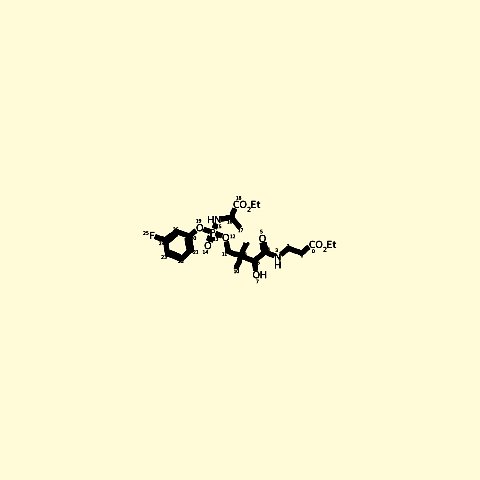 CCOC(=O)CCNC(=O)C(O)C(C)(C)COP(=O)(NC(C)C(=O)OCC)Oc1cccc(F)c1